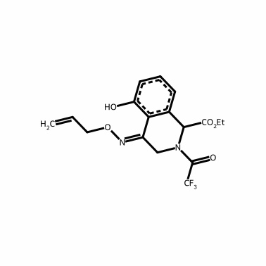 C=CCO/N=C1/CN(C(=O)C(F)(F)F)C(C(=O)OCC)c2cccc(O)c21